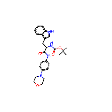 CC(C)(C)OC(=O)NC(Cc1c[nH]c2ccccc12)C(=O)Nc1ccc(N2CCOCC2)cc1